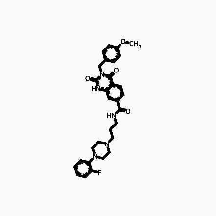 COc1ccc(Cn2c(=O)[nH]c3cc(C(=O)NCCCN4CCN(c5ccccc5F)CC4)ccc3c2=O)cc1